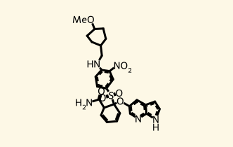 COC1CCC(CNc2ccc(S(=O)(=O)C3(Oc4cnc5[nH]ccc5c4)C=CC=CC3C(N)=O)cc2[N+](=O)[O-])CC1